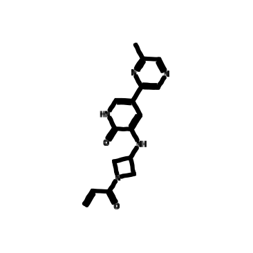 C=CC(=O)N1CC(Nc2cc(-c3cncc(C)n3)c[nH]c2=O)C1